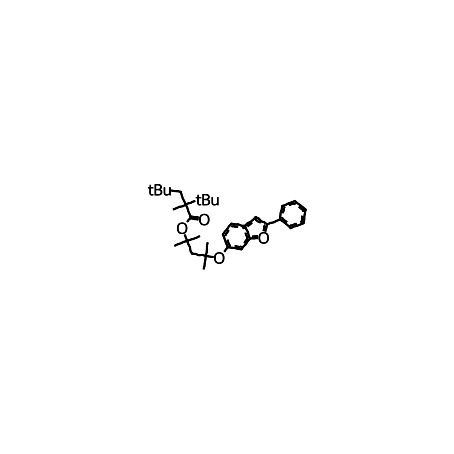 CC(C)(C)CC(C)(C(=O)OC(C)(C)CC(C)(C)Oc1ccc2cc(-c3ccccc3)oc2c1)C(C)(C)C